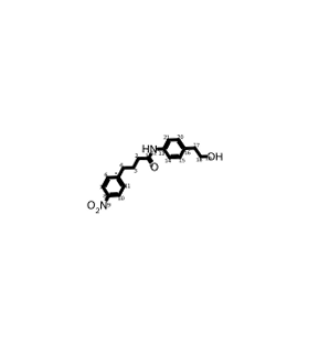 O=C(CCCc1ccc([N+](=O)[O-])cc1)Nc1ccc(CCO)cc1